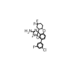 CN1C(=O)C2(N=C1N)c1cc(-c3cc(F)cc(Cl)c3)ccc1OC1CCC(F)(F)CC12